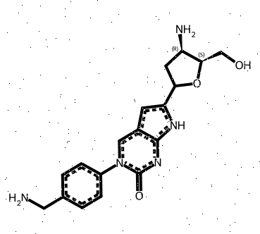 NCc1ccc(-n2cc3cc(C4C[C@@H](N)[C@@H](CO)O4)[nH]c3nc2=O)cc1